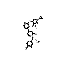 Cc1nn(C2CC2)cc1Nc1nccc(-c2ccn([C@H](CO)c3ccc(Cl)c(F)c3)c(=O)c2)n1